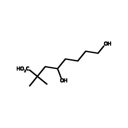 CC(C)(CC(O)CCCCO)C(=O)O